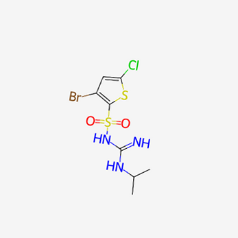 CC(C)NC(=N)NS(=O)(=O)c1sc(Cl)cc1Br